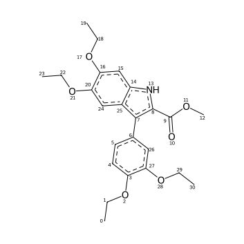 CCOc1ccc(-c2c(C(=O)OC)[nH]c3cc(OCC)c(OCC)cc23)cc1OCC